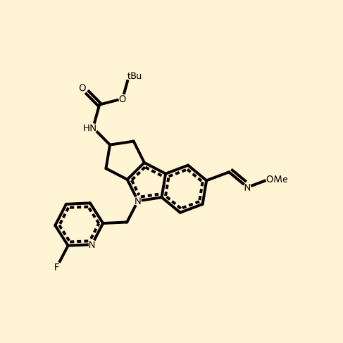 CON=Cc1ccc2c(c1)c1c(n2Cc2cccc(F)n2)CC(NC(=O)OC(C)(C)C)C1